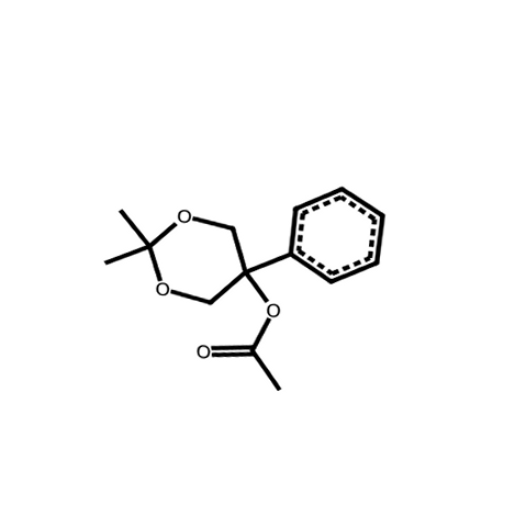 CC(=O)OC1(c2ccccc2)COC(C)(C)OC1